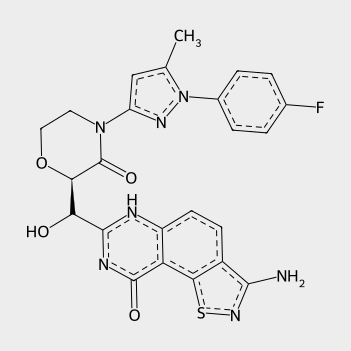 Cc1cc(N2CCO[C@H](C(O)c3nc(=O)c4c(ccc5c(N)nsc54)[nH]3)C2=O)nn1-c1ccc(F)cc1